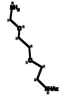 CC(=O)NCCOCCOCN